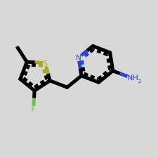 Cc1cc(F)c(Cc2cc(N)ccn2)s1